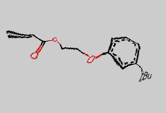 C=CC(=O)OCCOc1cccc(C(C)(C)C)c1